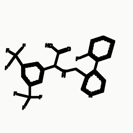 O=C(O)C(NCc1cnccc1-c1ccccc1F)c1cc(C(F)(F)F)cc(C(F)(F)F)c1